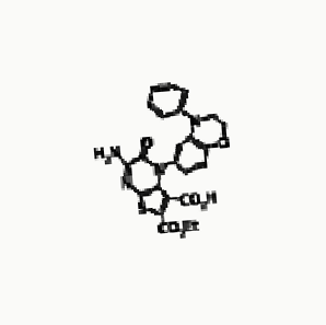 CCOC(=O)c1sc2nc(N)c(=O)n(-c3ccc4c(c3)N(c3ccccc3)CCO4)c2c1C(=O)O